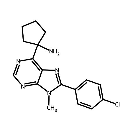 Cn1c(-c2ccc(Cl)cc2)nc2c(C3(N)CCCC3)ncnc21